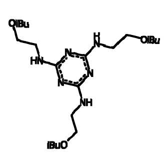 CC(C)COCCNc1nc(NCCOCC(C)C)nc(NCCOCC(C)C)n1